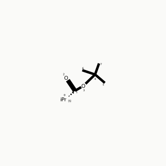 [CH2][C@@H](C)C(=O)OC(C)(C)C